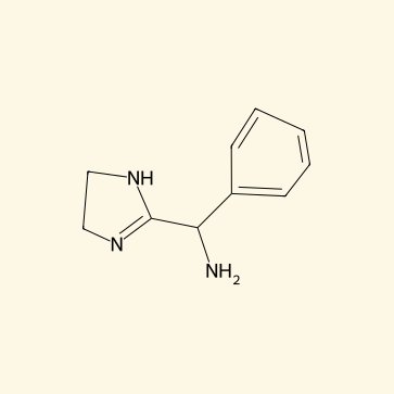 NC(C1=NCCN1)c1ccccc1